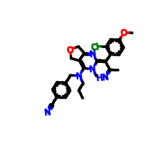 CCCN(Cc1ccc(C#N)cc1)C1=C2COCC2=N/C(=C(/C(C)=N)c2ccc(OC)cc2Cl)N1C